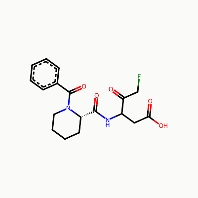 O=C(O)CC(NC(=O)[C@@H]1CCCCN1C(=O)c1ccccc1)C(=O)CF